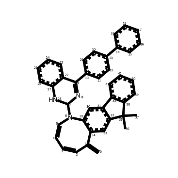 C=C1/C=C\C=C/N(C2N=C(c3ccc(-c4ccccc4)cc3)c3ccccc3N2)c2cc3c(cc21)C(C)(C)c1ccccc1-3